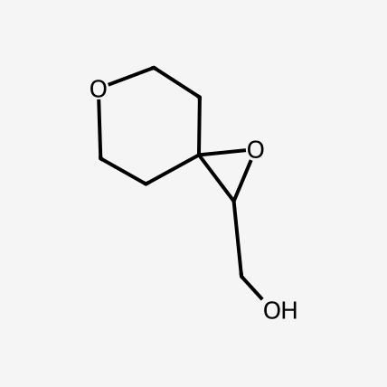 OCC1OC12CCOCC2